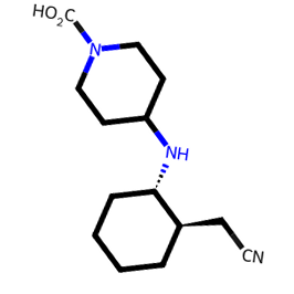 N#CC[C@H]1CCCC[C@@H]1NC1CCN(C(=O)O)CC1